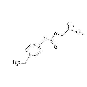 CC(C)COC(=O)Oc1ccc(CN)cc1